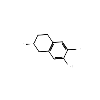 Cl.N[C@H]1CCc2cc(F)c(O)cc2C1